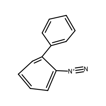 N#[N+]c1ccccc1-c1ccccc1